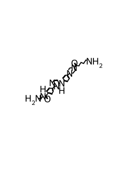 NCCCCC(=O)N1CCN(c2ccc(Nc3ccnc(-c4ccc(C(=O)NCN)cc4)n3)cc2)CC1